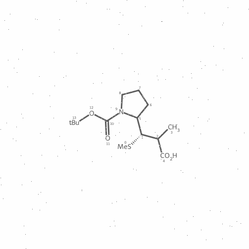 CS[C@@H](C(C)C(=O)O)C1CCCN1C(=O)OC(C)(C)C